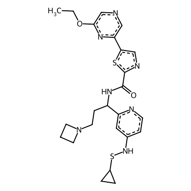 CCOc1cncc(-c2cnc(C(=O)NC(CCN3CCC3)c3cc(NSC4CC4)ccn3)s2)n1